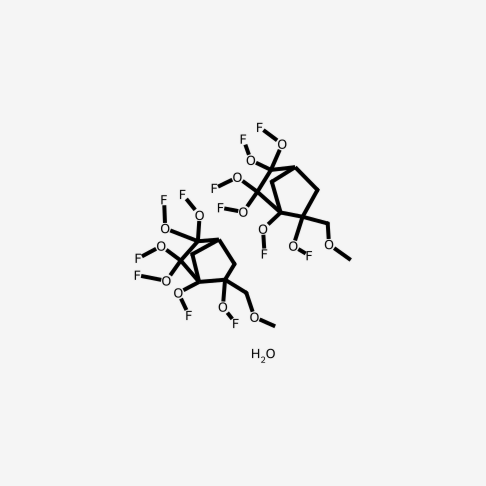 COCC1(OF)CC2CC1(OF)C(OF)(OF)C2(OF)OF.COCC1(OF)CC2CC1(OF)C(OF)(OF)C2(OF)OF.O